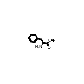 N[C@@H](Cc1ccccc1)C(=O)OF